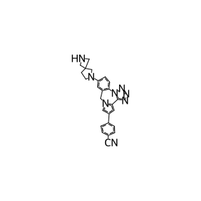 N#Cc1ccc(-c2cc3n(c2)Cc2cc(N4CCC5(CNC5)C4)ccc2-n2nnnc2-3)cc1